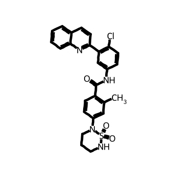 Cc1cc(N2CCCNS2(=O)=O)ccc1C(=O)Nc1ccc(Cl)c(-c2ccc3ccccc3n2)c1